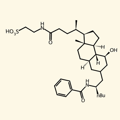 CCCC[C@H](CC1C[C@H]2CC[C@]3(C)[C@@H]([C@H](C)CCC(=O)NCCS(=O)(=O)O)CC[C@H]3[C@@H]2[C@@H](O)C1)NC(=O)c1ccccc1